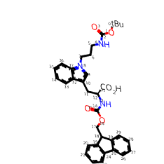 CC(C)(C)OC(=O)NCCCn1cc(C[C@H](NC(=O)OCC2c3ccccc3-c3ccccc32)C(=O)O)c2ccccc21